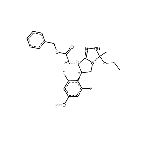 CCOC1(C)NN=C2[C@@H](NC(=O)OCc3ccccc3)[C@H](c3c(F)cc(OC)cc3F)CN21